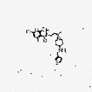 Cc1cc(Cl)nc(Cl)c1C(=O)NCC[C@@H](C)N1CCC(NCc2ccsc2)CC1